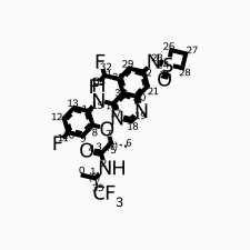 C[C@H](NC(=O)[C@@H](C)Oc1cc(F)ccc1Nc1ncnc2cc(N=S3(=O)CCC3)cc(C(F)F)c12)C(F)(F)F